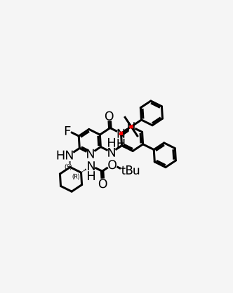 CC(C)(C)OC(=O)N[C@@H]1CCCC[C@@H]1Nc1nc(Nc2cncc(-c3ccccc3)c2)c(C(=O)NC(C)(C)c2ccccc2)cc1F